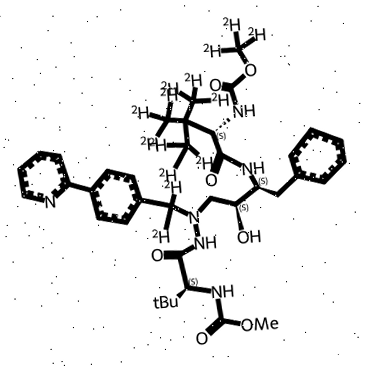 [2H]C([2H])([2H])OC(=O)N[C@H](C(=O)N[C@@H](Cc1ccccc1)[C@@H](O)CN(NC(=O)[C@@H](NC(=O)OC)C(C)(C)C)C([2H])([2H])c1ccc(-c2ccccn2)cc1)C(C([2H])([2H])[2H])(C([2H])([2H])[2H])C([2H])([2H])[2H]